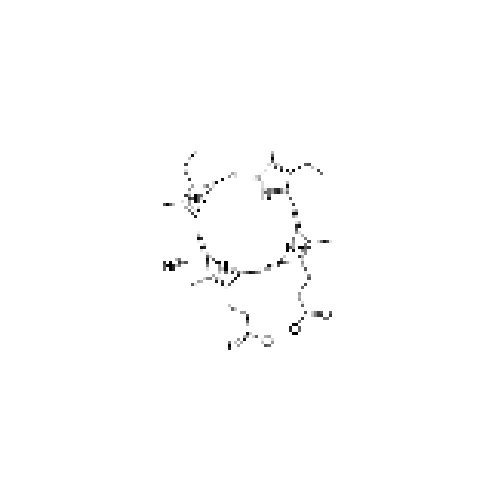 CCC1=C(C)c2cc3[nH]c(cc4nc(cc5[nH]c(cc1n2)c(C)c5CCC(=O)[O-])C(CCC(=O)[O-])=C4C)c(C)c3CC.[Ni+2]